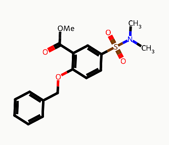 COC(=O)c1cc(S(=O)(=O)N(C)C)ccc1OCc1ccccc1